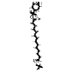 CC(C)(C)OC(=O)CCCCCCCCCCCCC(=O)OC(C)(C)C1CCNCC1